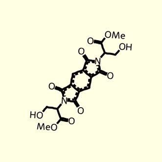 COC(=O)C(CO)n1c(=O)c2cc3c(=O)n(C(CO)C(=O)OC)c(=O)c3cc2c1=O